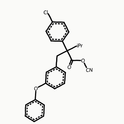 CC(C)C(Cc1cccc(Oc2ccccc2)c1)(C(=O)OC#N)c1ccc(Cl)cc1